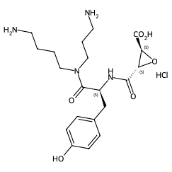 Cl.NCCCCN(CCCN)C(=O)[C@H](Cc1ccc(O)cc1)NC(=O)[C@H]1O[C@@H]1C(=O)O